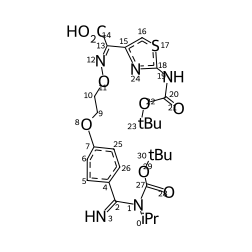 CC(C)N(C(=N)c1ccc(OCCON=C(C(=O)O)c2csc(NC(=O)OC(C)(C)C)n2)cc1)C(=O)OC(C)(C)C